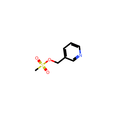 CS(=O)(=O)OCc1cccnc1